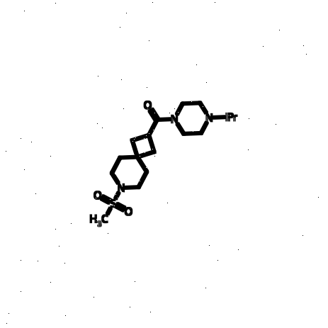 CC(C)N1CCN(C(=O)C2CC3(CCN(S(C)(=O)=O)CC3)C2)CC1